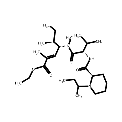 CCOC(=O)/C(C)=C/[C@H]([C@@H](C)CC)N(C)C(=O)[C@@H](NC(=O)[C@H]1CCCCN1C(C)CC)C(C)C